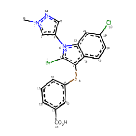 Cn1cc(-n2c(Br)c(Sc3cccc(C(=O)O)c3)c3ccc(Cl)cc32)cn1